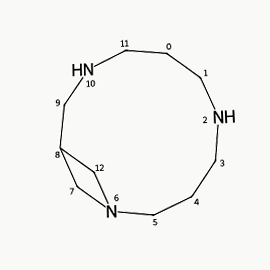 C1CNCCCN2CC(CNC1)C2